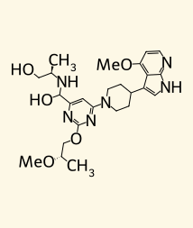 COc1ccnc2[nH]cc(C3CCN(c4cc(C(O)N[C@H](C)CO)nc(OC[C@H](C)OC)n4)CC3)c12